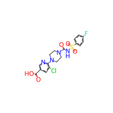 O=C(O)c1cnc(N2CCN(C(=O)NS(=O)(=O)c3ccc(F)cc3)CC2)c(Cl)c1